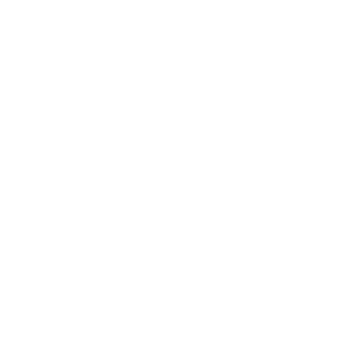 FC1CCC=CC1I